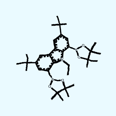 CCn1c2c(B3OC(C)(C)C(C)(C)O3)cc(C(C)(C)C)cc2c2cc(C(C)(C)C)cc(B3OC(C)(C)C(C)(C)O3)c21